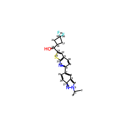 CC(C)n1cc2cc(-c3ccc4cc(C(O)C5CC(F)(F)C5)sc4n3)ccc2n1